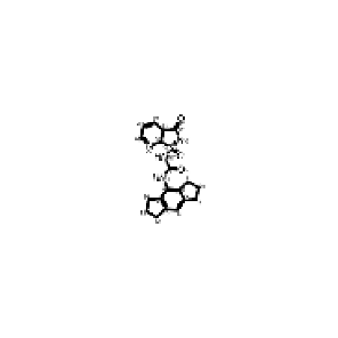 O=C(Nc1c2c(cc3c1CCC3)CCC2)NS1(=O)=NC(=O)C2C=CC=NC21